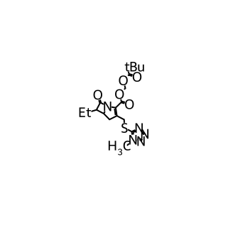 CCC1C(=O)N2C(C(=O)OCOC(=O)C(C)(C)C)=C(CSc3nnnn3C)CC12